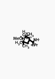 CCCC([NH])C1CC(C)(C)N(OC)C(C)(C)C1